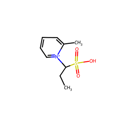 CCC([n+]1ccccc1C)S(=O)(=O)O